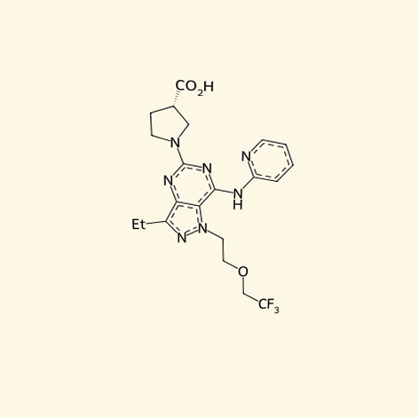 CCc1nn(CCOCC(F)(F)F)c2c(Nc3ccccn3)nc(N3CC[C@H](C(=O)O)C3)nc12